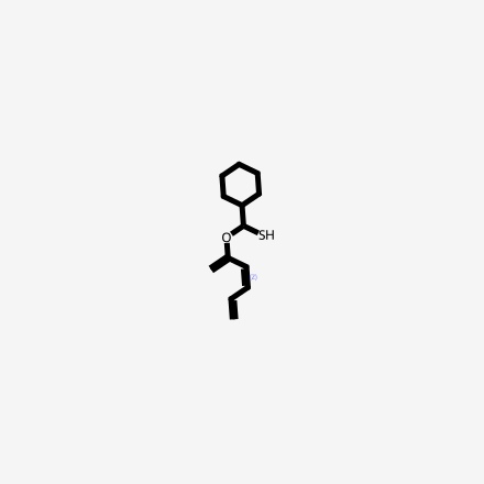 C=C/C=C\C(=C)OC(S)C1CCCCC1